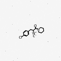 [C-]#[N+]C(Cc1ccc(Cl)cc1)C(=O)N1CCCCC1